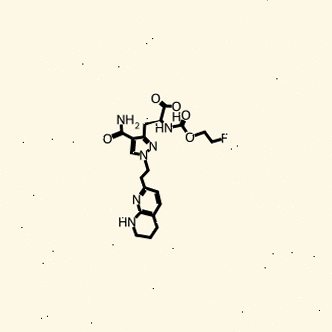 NC(=O)c1cn(CCc2ccc3c(n2)NCCC3)nc1C[C@H](NC(=O)OCCF)C(=O)O